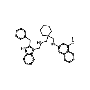 COc1cc(NCC2(CNCc3c(Cc4ccccc4)[nH]c4ccccc34)CCCCC2)nc2ccccc12